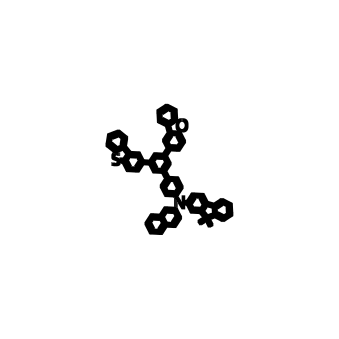 CC1(C)c2ccccc2-c2ccc(N(c3ccc(-c4cc(-c5ccc6oc7ccccc7c6c5)cc(-c5ccc6sc7ccccc7c6c5)c4)cc3)c3ccc4ccccc4c3)cc21